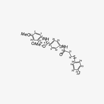 COc1ccc(N[S+]([O-])c2ccc(NC(=O)CCSc3ccc(I)cc3)cc2)c(OC)c1